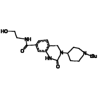 CC(C)(C)N1CCC(N2Cc3ccc(C(=O)NCCO)cc3NC2=O)CC1